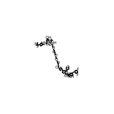 Cc1ncsc1-c1ccc(CNC(=O)[C@@H]2C[C@@H](O)CN2C(=O)C(NC(=O)CCOCCOCCOCCOCCOCCC(=O)N2CCN(c3ccc(C(=O)Nc4n[nH]c5ccc(Cc6cc(F)cc(F)c6)cc45)c(NC4CCOCC4)c3)CC2)C(C)(C)C)cc1